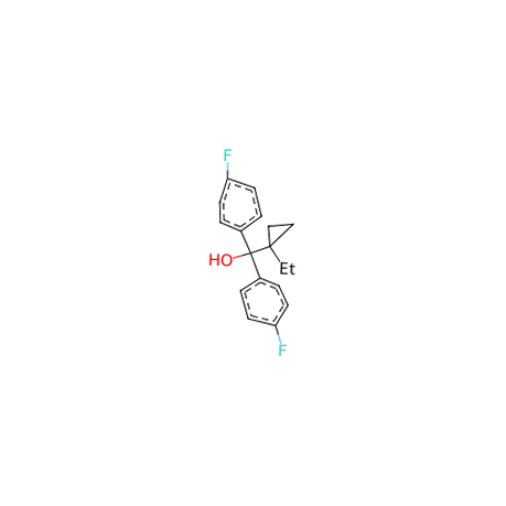 CCC1(C(O)(c2ccc(F)cc2)c2ccc(F)cc2)CC1